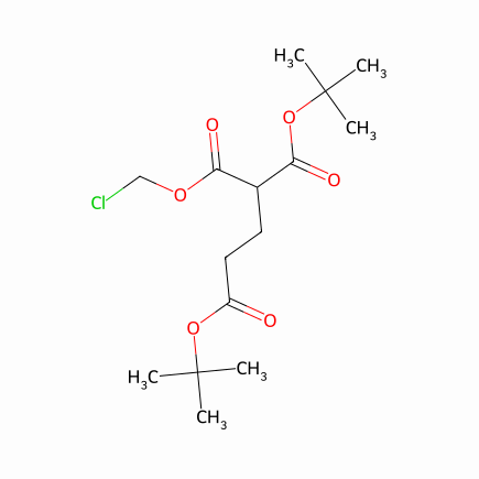 CC(C)(C)OC(=O)CCC(C(=O)OCCl)C(=O)OC(C)(C)C